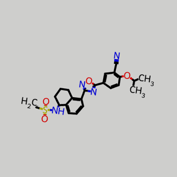 C=CS(=O)(=O)NC1CCCc2c(-c3noc(-c4ccc(OC(C)C)c(C#N)c4)n3)cccc21